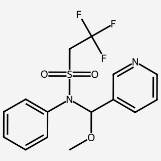 COC(c1cccnc1)N(c1ccccc1)S(=O)(=O)CC(F)(F)F